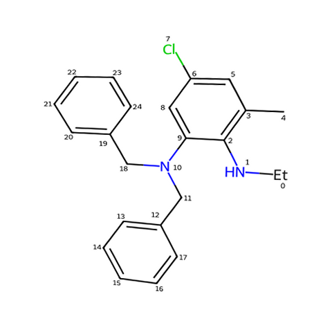 CCNc1c(C)cc(Cl)cc1N(Cc1ccccc1)Cc1ccccc1